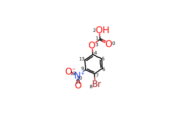 O=C(O)Oc1ccc(Br)c([N+](=O)[O-])c1